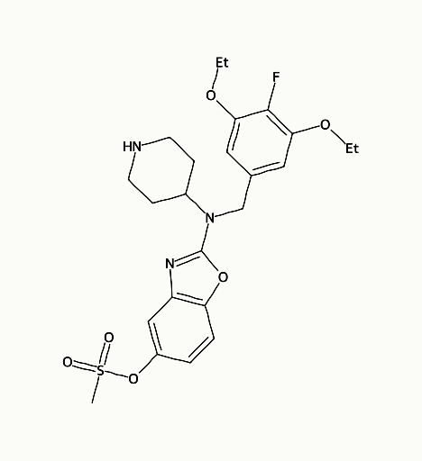 CCOc1cc(CN(c2nc3cc(OS(C)(=O)=O)ccc3o2)C2CCNCC2)cc(OCC)c1F